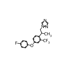 C[C](Cn1cncn1)c1ccc(Oc2ccc(F)cc2)cc1C(F)(F)F